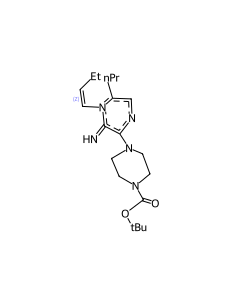 CC/C=C\n1c(CCC)cnc(N2CCN(C(=O)OC(C)(C)C)CC2)c1=N